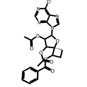 CC(=O)OC1C(n2cnc3c(Cl)ncnc32)O[C@]2(CCC2OC(=O)c2ccccc2)C1OC(C)=O